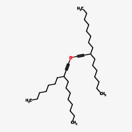 CCCCCCCCC(C#COC#CC(CCCCCCC)CCCCCCCC)CCCCCCC